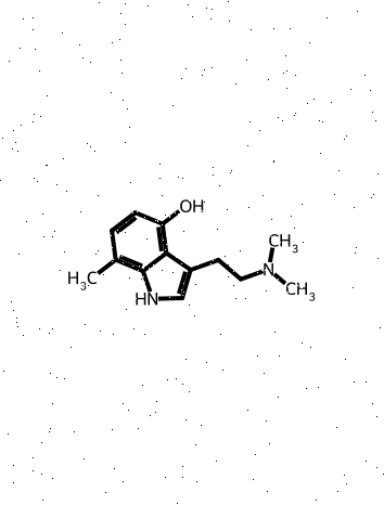 Cc1ccc(O)c2c(CCN(C)C)c[nH]c12